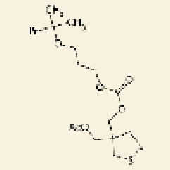 CC(=O)OCC1(COC(=O)OCCCOC(C)(C)C(C)C)CSSC1